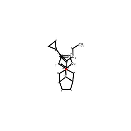 CCOC(=O)C1CC2CCC(C1)N2c1nc(C2CC2)no1